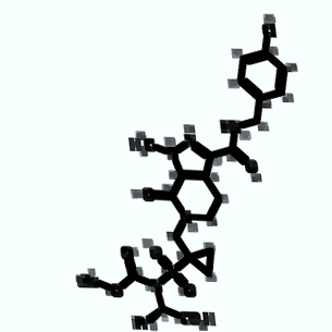 CC(C)[C@H](C(=O)O)N(C(=O)OC(C)(C)C)S(=O)(=O)C1(CN2CCc3c(C(=O)NCc4ccc(Cl)cc4)nn(C)c3C2=O)CC1